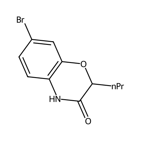 CCCC1Oc2cc(Br)ccc2NC1=O